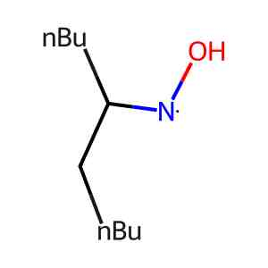 CCCCCC(CCCC)[N]O